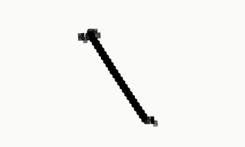 CCCCCCCCCCCCCCCCCCCCCCCCCCC[CH]CCCCCCCCCCCCCCCCCCCC(C)C